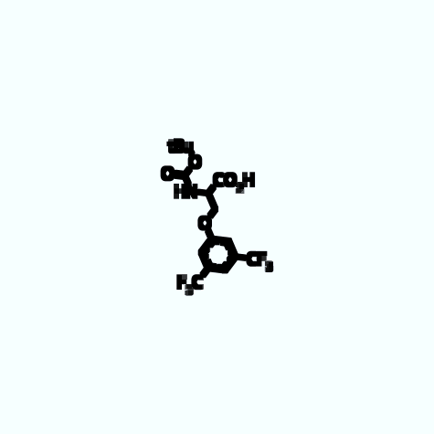 CC(C)(C)OC(=O)NC(COc1cc(C(F)(F)F)cc(C(F)(F)F)c1)C(=O)O